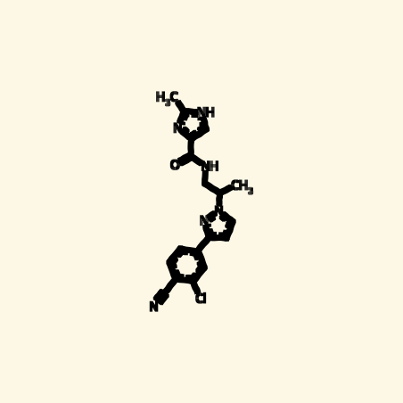 Cc1nc(C(=O)NCC(C)n2ccc(-c3ccc(C#N)c(Cl)c3)n2)c[nH]1